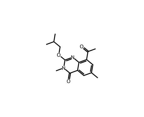 CC(=O)c1cc(C)cc2c(=O)n(C)c(OCC(C)C)nc12